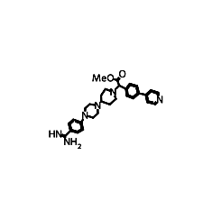 COC(=O)C(c1ccc(-c2ccncc2)cc1)N1CCC(N2CCN(c3ccc(C(=N)N)cc3)CC2)CC1